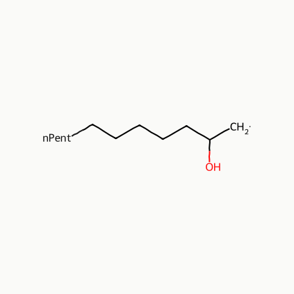 [CH2]C(O)CCCCCCCCCC